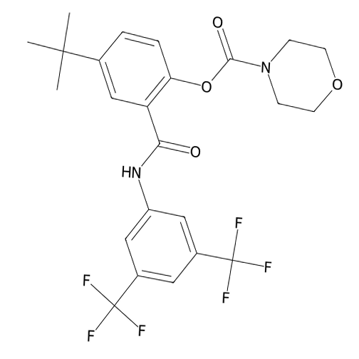 CC(C)(C)c1ccc(OC(=O)N2CCOCC2)c(C(=O)Nc2cc(C(F)(F)F)cc(C(F)(F)F)c2)c1